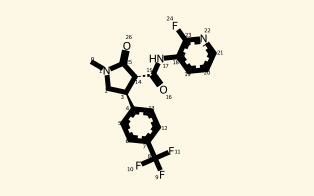 CN1C[C@H](c2ccc(C(F)(F)F)cc2)[C@@H](C(=O)Nc2cccnc2F)C1=O